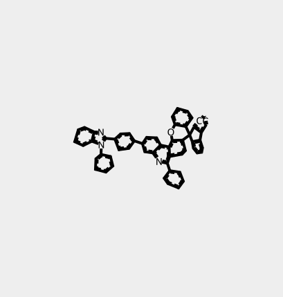 c1ccc(-c2nc3cc(-c4ccc(-c5nc6ccccc6n5-c5ccccc5)cc4)ccc3c3c4c(ccc23)C2(c3ccccc3O4)c3ccccc3-c3ccccc32)cc1